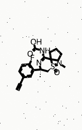 C#Cc1ccc(F)c([C@]2(C)C[S@](=O)(=NC)C3(CCCC3)C(NC(=O)O)=N2)c1